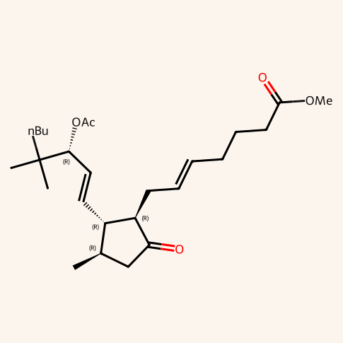 CCCCC(C)(C)[C@@H](C=C[C@H]1[C@H](C)CC(=O)[C@@H]1CC=CCCCC(=O)OC)OC(C)=O